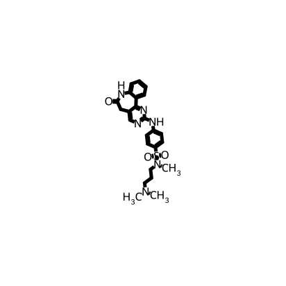 CN(C)CCCN(C)S(=O)(=O)c1ccc(Nc2ncc3c(n2)-c2ccccc2NC(=O)C3)cc1